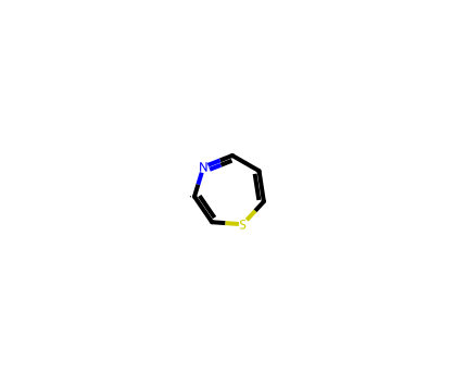 [C]1=CSC=CC=N1